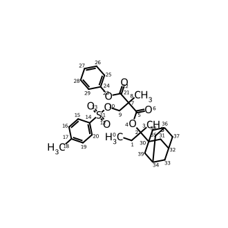 CCC(C)(OC(=O)C(C)(COS(=O)(=O)c1ccc(C)cc1)C(=O)Oc1ccccc1)C12CC3CC(CC(C3)C1)C2